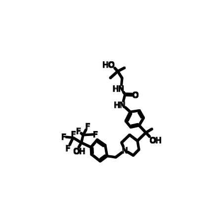 CC(C)(O)CNC(=O)Nc1ccc(C(C)(O)C2CCN(Cc3ccc(C(O)(C(F)(F)F)C(F)(F)F)cc3)CC2)cc1